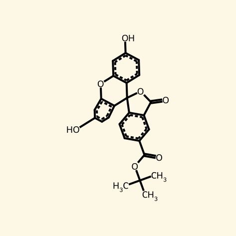 CC(C)(C)OC(=O)c1ccc2c(c1)C(=O)OC21c2ccc(O)cc2Oc2cc(O)ccc21